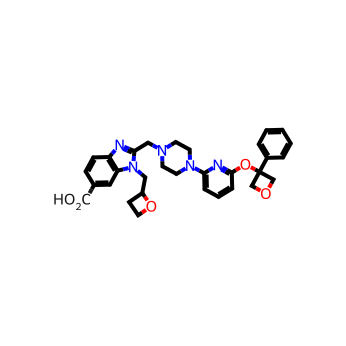 O=C(O)c1ccc2nc(CN3CCN(c4cccc(OC5(c6ccccc6)COC5)n4)CC3)n(CC3CCO3)c2c1